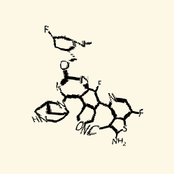 CN1C[C@H](F)C[C@H]1COc1nc(N2C3CNCC2C3)c2c3c(c(-c4ncc(F)c5sc(N)c(C#N)c45)c(F)c2n1)COC3